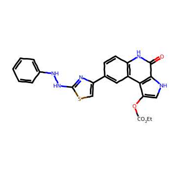 CCOC(=O)Oc1c[nH]c2c(=O)[nH]c3ccc(-c4csc(NNc5ccccc5)n4)cc3c12